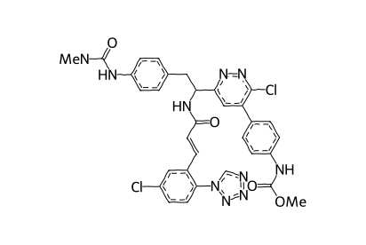 CNC(=O)Nc1ccc(CC(NC(=O)C=Cc2cc(Cl)ccc2-n2cnnn2)c2cc(-c3ccc(NC(=O)OC)cc3)c(Cl)nn2)cc1